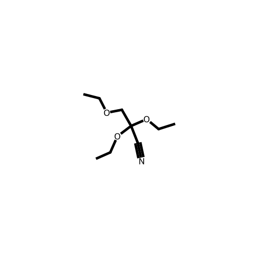 CCOCC(C#N)(OCC)OCC